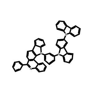 c1ccc(-c2nc3ccccc3c3c2ccc2c4ccccc4n(-c4cccc(-n5c6ccccc6c6cc(-n7c8ccccc8c8ccccc87)ccc65)c4)c23)cc1